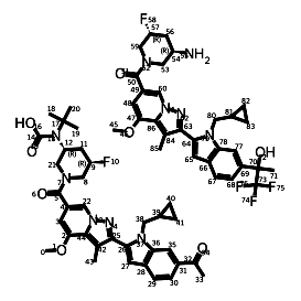 COc1cc(C(=O)N2C[C@H](F)C[C@@H](N(C(=O)O)C(C)(C)C)C2)cn2nc(-c3cc4ccc(C(C)=O)cc4n3CC3CC3)c(C)c12.COc1cc(C(=O)N2C[C@H](N)C[C@@H](F)C2)cn2nc(-c3cc4ccc(C(C)(O)C(F)(F)F)cc4n3CC3CC3)c(C)c12